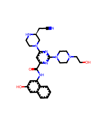 N#CC[C@H]1CN(c2cc(C(=O)Nc3cc(O)cc4ccccc34)nc(N3CCN(CCO)CC3)n2)CCN1